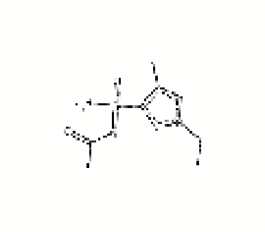 CCn1cc(C)c(S(N)(=O)=NC(C)=O)n1